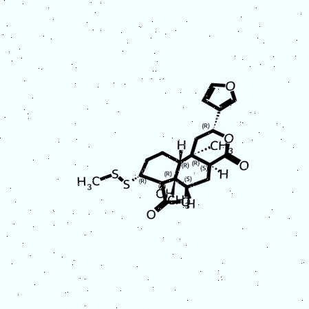 CSS[C@@H]1CC[C@@H]2[C@@]3(C)C[C@H](c4ccoc4)OC(=O)[C@H]3C[C@@H]3OC(=O)[C@@]1(O)[C@@]32C